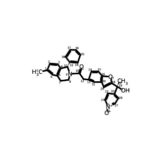 Cc1ccc2c(c1)CCN(C(=O)Cc1ccc3oc([C@@](C)(O)c4cc[n+]([O-])cc4)cc3c1)[C@H]2c1ccccc1